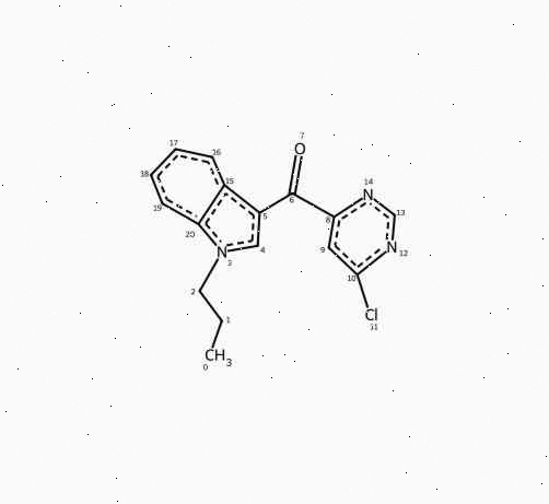 CCCn1cc(C(=O)c2cc(Cl)ncn2)c2ccccc21